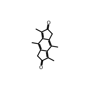 CC1=c2c(C)c3c(c(C)c2CC1=O)=C(C)C(=O)C3